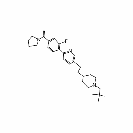 C=C(c1ccc(-c2ccc(CCC3CCN(CC(C)(C)C)CC3)cn2)c(F)c1)N1CCCC1